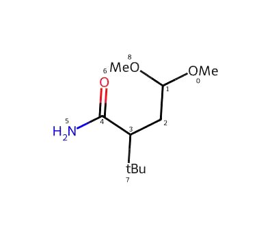 COC(CC(C(N)=O)C(C)(C)C)OC